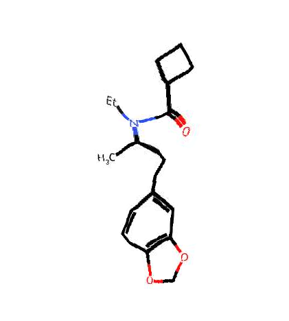 CCN(C(=O)C1CCC1)C(C)Cc1ccc2c(c1)OCO2